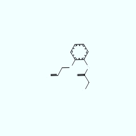 C=CCSc1ccccc1NC(=O)CCl